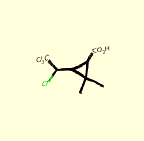 CC1(C)C(C(=O)O)C1C(Cl)C(Cl)(Cl)Cl